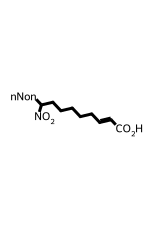 CCCCCCCCCC(CCCCCC=CC(=O)O)[N+](=O)[O-]